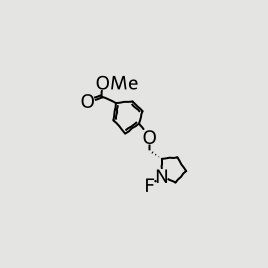 COC(=O)c1ccc(OC[C@@H]2CCCN2F)cc1